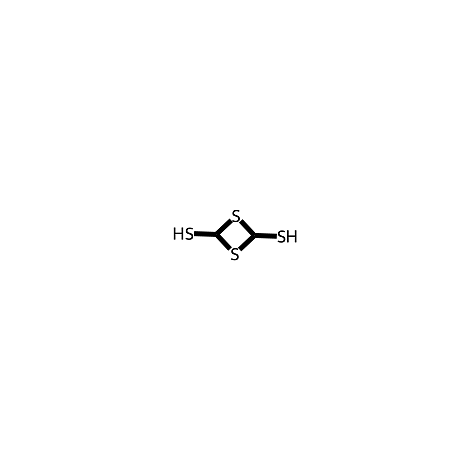 SC1SC(S)S1